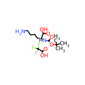 CC(C)(C)OC(=O)N[C@@H](CCCCN)C(=O)O.O=C(O)C(F)(F)F